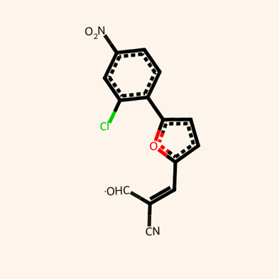 N#CC([C]=O)=Cc1ccc(-c2ccc([N+](=O)[O-])cc2Cl)o1